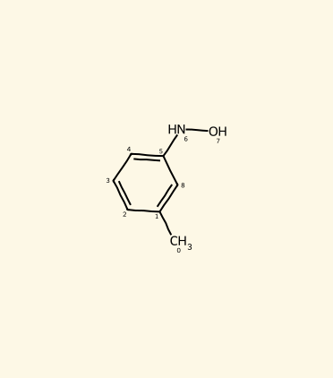 Cc1cccc(NO)c1